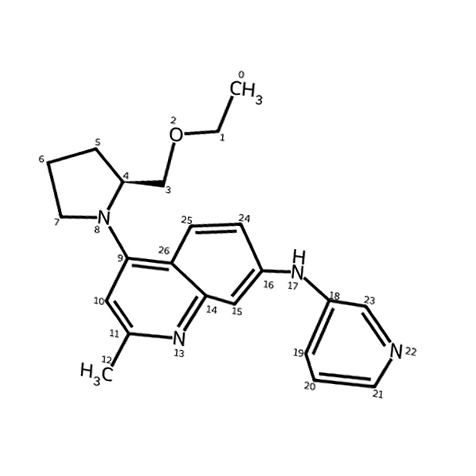 CCOC[C@@H]1CCCN1c1cc(C)nc2cc(Nc3cccnc3)ccc12